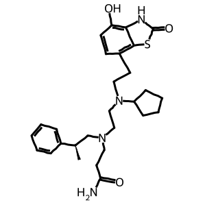 C[C@H](CN(CCC(N)=O)CCN(CCc1ccc(O)c2[nH]c(=O)sc12)C1CCCC1)c1ccccc1